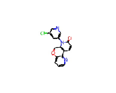 O=c1ccc2c(n1-c1cncc(Cl)c1)COc1cccnc1-2